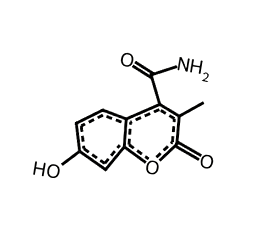 Cc1c(C(N)=O)c2ccc(O)cc2oc1=O